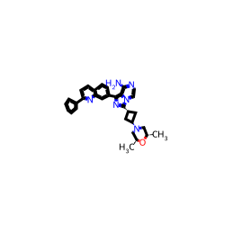 C[C@@H]1CN([C@H]2C[C@@H](c3nc(-c4ccc5ccc(-c6ccccc6)nc5c4)c4c(N)nccn43)C2)C[C@H](C)O1